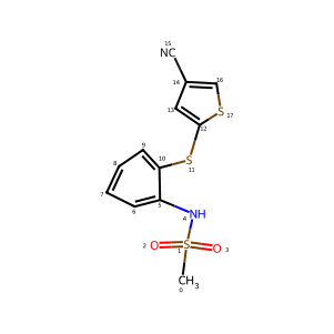 CS(=O)(=O)Nc1ccccc1Sc1cc(C#N)cs1